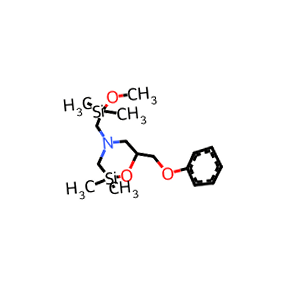 CO[Si](C)(C)CN1CC(COc2ccccc2)O[Si](C)(C)C1